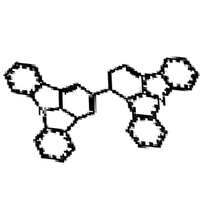 C1=C(C2CC=c3c4ccccc4n4c3c2c2ccccc24)C=C2c3ccccc3N3c4ccccc4C1C23